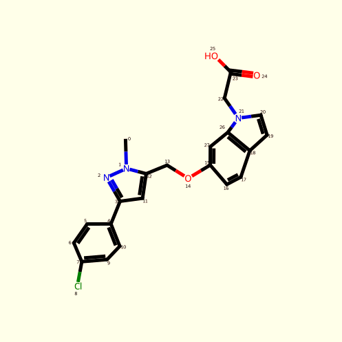 Cn1nc(-c2ccc(Cl)cc2)cc1COc1ccc2ccn(CC(=O)O)c2c1